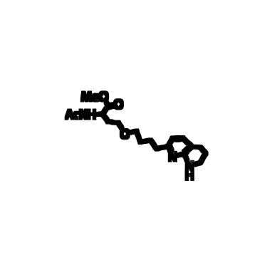 COC(=O)C(CCOCCCCc1ccc2c(n1)NCCC2)NC(C)=O